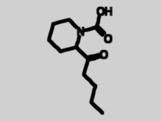 CCCCC(=O)C1CCCCN1C(=O)O